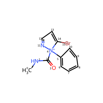 CNC(=O)[N+]1(c2ccccc2)N=CC=C1Br